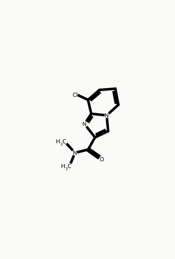 CN(C)C(=O)c1cn2cccc(Cl)c2n1